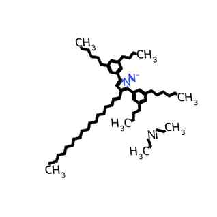 CCCCCCCCCCCCCCCCCC=CC1=C(c2cc(CCCC)cc(CCCCCC)c2)[N+](=[N-])C(c2cc(CCCC)cc(CCCCCC)c2)=C1.CC[CH2][Ni][CH2]CC